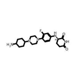 NC1CCC(N2CCN(c3ccc(N[C@@H]4CCC(=O)NC4=O)cc3F)CC2)CC1